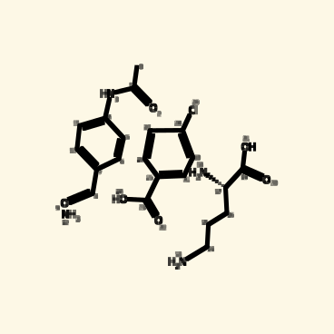 CC(=O)Nc1ccc(C=O)cc1.N.NCCC[C@H](N)C(=O)O.O=C(O)c1ccc(Cl)cc1